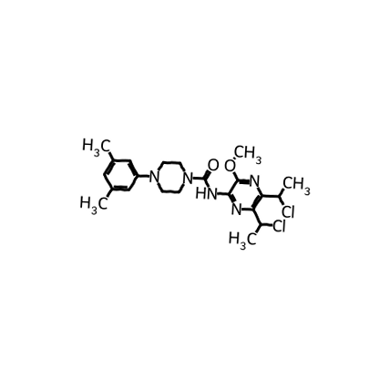 COc1nc(C(C)Cl)c(C(C)Cl)nc1NC(=O)N1CCN(c2cc(C)cc(C)c2)CC1